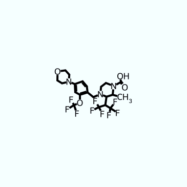 CC1C(C(C(F)(F)F)C(F)(F)F)N(Cc2ccc(N3CCOCC3)cc2OC(F)(F)F)CCN1C(=O)O